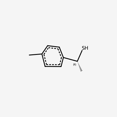 Cc1ccc([C@@H](C)S)cc1